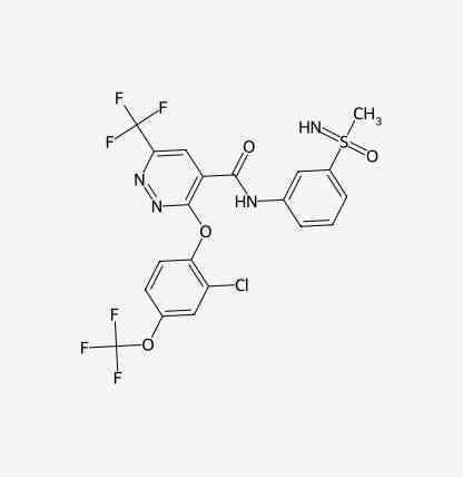 CS(=N)(=O)c1cccc(NC(=O)c2cc(C(F)(F)F)nnc2Oc2ccc(OC(F)(F)F)cc2Cl)c1